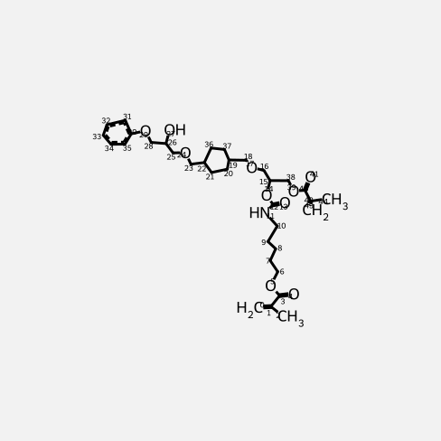 C=C(C)C(=O)OCCCCCNC(=O)OC(COCC1CCC(COCC(O)COc2ccccc2)CC1)COC(=O)C(=C)C